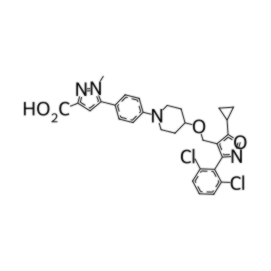 Cn1nc(C(=O)O)cc1-c1ccc(N2CCC(OCc3c(-c4c(Cl)cccc4Cl)noc3C3CC3)CC2)cc1